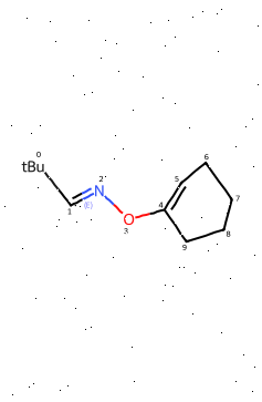 CC(C)(C)/[C]=N/OC1=CCCCC1